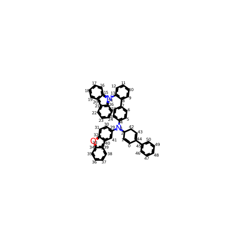 C1=CC(N(c2ccc(-c3ccccc3-n3c4ccccc4c4ccccc43)cc2)c2ccc3oc4ccccc4c3c2)CC=C1c1ccccc1